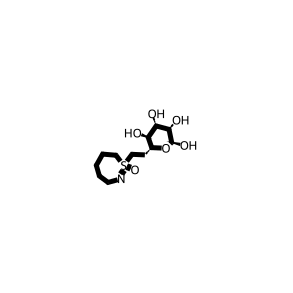 O=S1(CC[C@H]2O[C@H](O)[C@@H](O)[C@@H](O)[C@@H]2O)=NCCCCC1